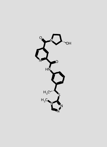 C[C@@H](Sc1nncn1C)c1cccc(NC(=O)c2cc(C(=O)N3CC[C@H](O)C3)ccn2)c1